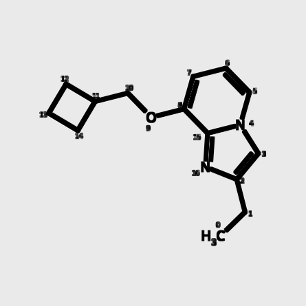 CCc1cn2cccc(OCC3CCC3)c2n1